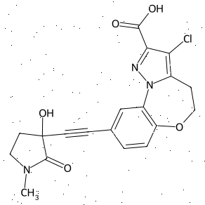 CN1CCC(O)(C#Cc2ccc3c(c2)-n2nc(C(=O)O)c(Cl)c2CCO3)C1=O